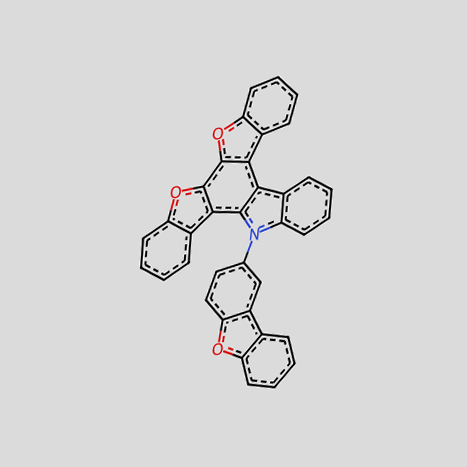 c1ccc2c(c1)oc1ccc(-n3c4ccccc4c4c5c6ccccc6oc5c5oc6ccccc6c5c43)cc12